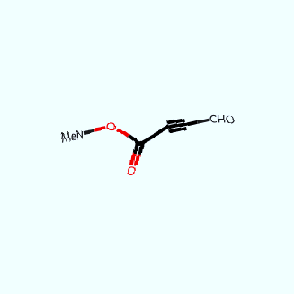 CNOC(=O)C#CC=O